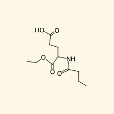 CCCC(=O)NC(CCC(=O)O)C(=O)OCC